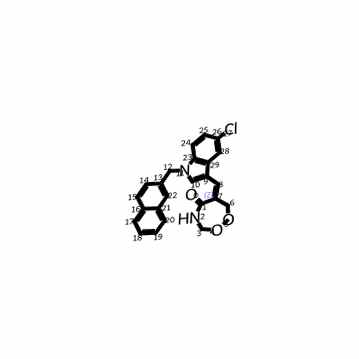 O=C1NCOOC/C1=C/c1cn(Cc2ccc3ccccc3c2)c2ccc(Cl)cc12